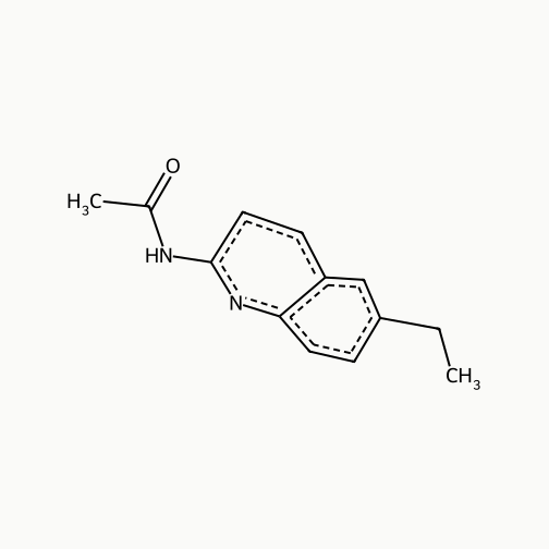 CCc1ccc2nc(NC(C)=O)ccc2c1